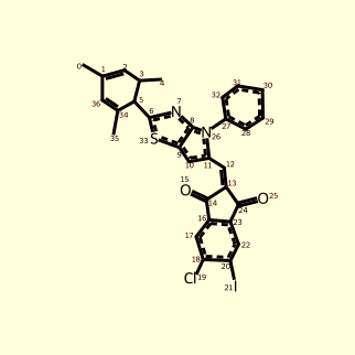 CC1=CC(C)C(c2nc3c(cc(/C=C4\C(=O)c5cc(Cl)c(I)cc5C4=O)n3-c3ccccc3)s2)C(C)=C1